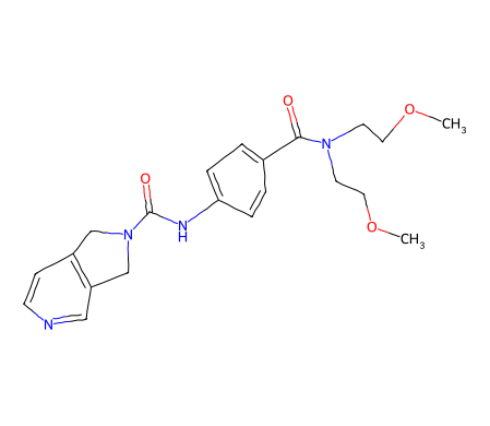 COCCN(CCOC)C(=O)c1ccc(NC(=O)N2Cc3ccncc3C2)cc1